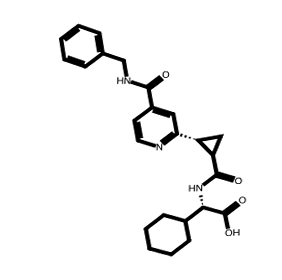 O=C(NCc1ccccc1)c1ccnc([C@@H]2CC2C(=O)N[C@H](C(=O)O)C2CCCCC2)c1